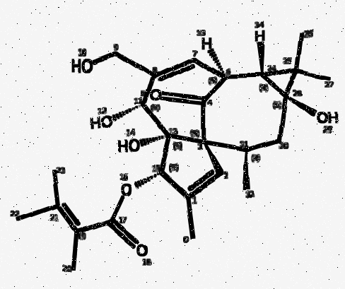 CC1=C[C@]23C(=O)[C@@H](C=C(CO)[C@@H](O)[C@]2(O)[C@H]1OC(=O)C(C)=C(C)C)[C@@H]1C(C)(C)[C@]1(O)C[C@H]3C